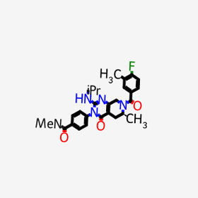 CNC(=O)c1ccc(-n2c(NC(C)C)nc3c(c2=O)C[C@@H](C)N(C(=O)c2ccc(F)c(C)c2)C3)cc1